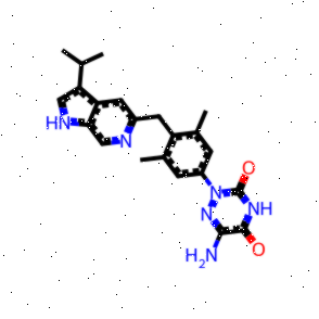 Cc1cc(-n2nc(N)c(=O)[nH]c2=O)cc(C)c1Cc1cc2c(C(C)C)c[nH]c2cn1